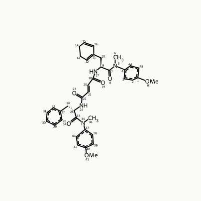 COc1ccc(N(C)C(=O)[C@H](CC2=CCCC=C2)NC(=O)/C=C/C(=O)N[C@@H](Cc2ccccc2)C(=O)N(C)c2ccc(OC)cc2)cc1